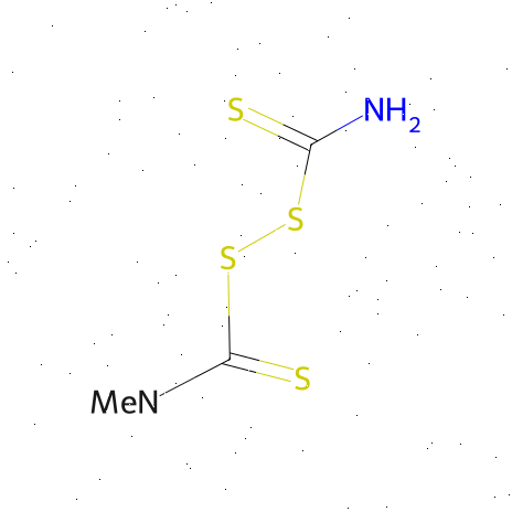 CNC(=S)SSC(N)=S